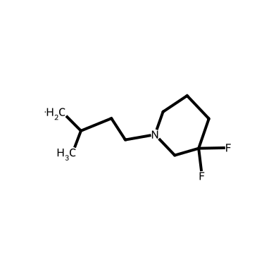 [CH2]C(C)CCN1CCCC(F)(F)C1